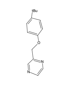 CC(C)(C)c1ccc(OCc2cnccn2)cc1